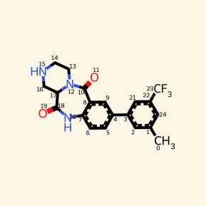 Cc1cc(-c2ccc3c(c2)C(=O)N2CCNCC2C(=O)N3)cc(C(F)(F)F)c1